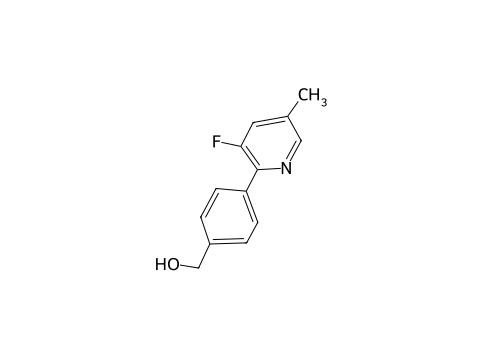 Cc1cnc(-c2ccc(CO)cc2)c(F)c1